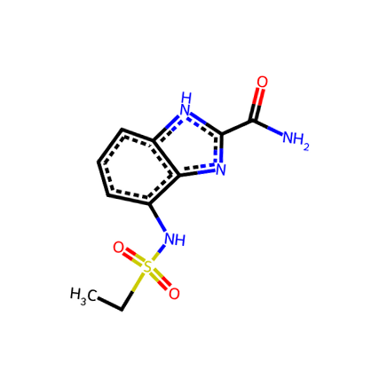 CCS(=O)(=O)Nc1cccc2[nH]c(C(N)=O)nc12